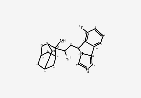 OC(CC1c2c(F)cccc2-c2cncn21)C1(O)C2CC3CC(C2)CC1C3